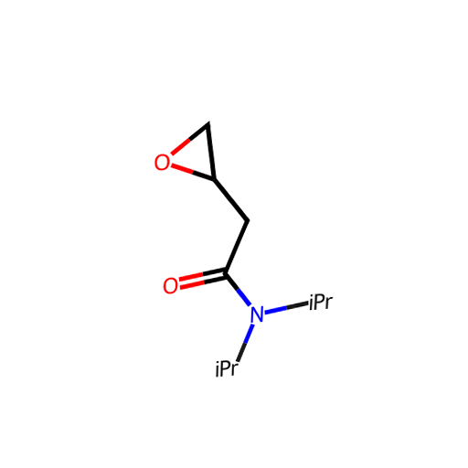 CC(C)N(C(=O)CC1CO1)C(C)C